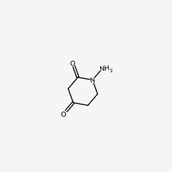 NN1CCC(=O)CC1=O